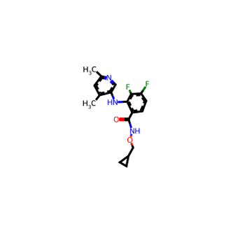 Cc1cc(C)c(Nc2c(C(=O)NOCC3CC3)ccc(F)c2F)cn1